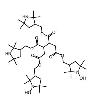 CC1(C)CC(COC(=O)C(CC(=O)OCC2CC(C)(C)N(O)C2(C)C)C(CC(=O)OCC2CC(C)(C)N(O)C2(C)C)C(=O)OCC2CC(C)(C)NC2(C)C)C(C)(C)N1